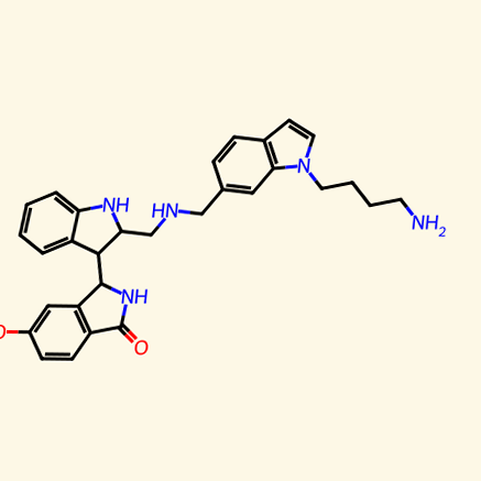 NCCCCn1ccc2ccc(CNCC3Nc4ccccc4C3C3NC(=O)c4ccc(O)cc43)cc21